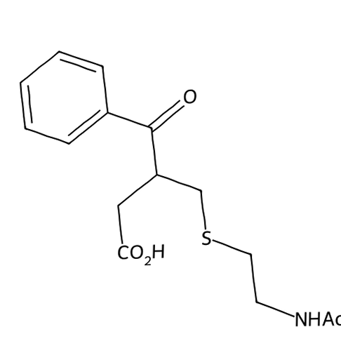 CC(=O)NCCSCC(CC(=O)O)C(=O)c1ccccc1